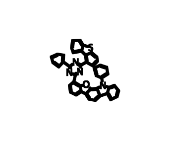 c1ccc(-c2nc(-c3cccc4c3oc3c4ccc4c5ccccc5n(-c5ccccc5)c43)nc(-c3cccc4sc5ccccc5c34)n2)cc1